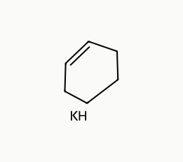 C1=CCCCC1.[KH]